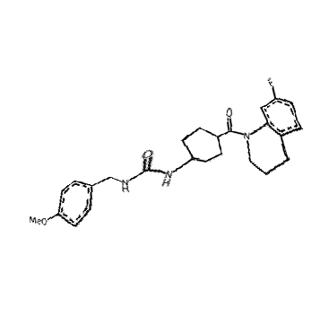 COc1ccc(CNC(=O)NC2CCC(C(=O)N3CCCc4ccc(F)cc43)CC2)cc1